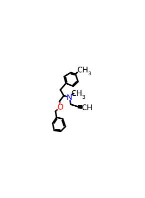 C#CCN(C)C(COCc1ccccc1)Cc1ccc(C)cc1